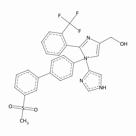 CS(=O)(=O)c1cccc(-c2ccc([N+]3(c4c[nH]cn4)C=C(CO)N=C3c3ccccc3C(F)(F)F)cc2)c1